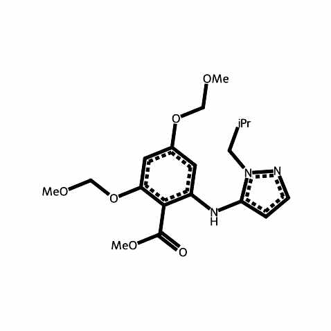 COCOc1cc(Nc2ccnn2CC(C)C)c(C(=O)OC)c(OCOC)c1